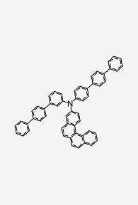 c1ccc(-c2ccc(-c3ccc(N(c4cccc(-c5ccc(-c6ccccc6)cc5)c4)c4ccc5c(ccc6ccc7ccccc7c65)c4)cc3)cc2)cc1